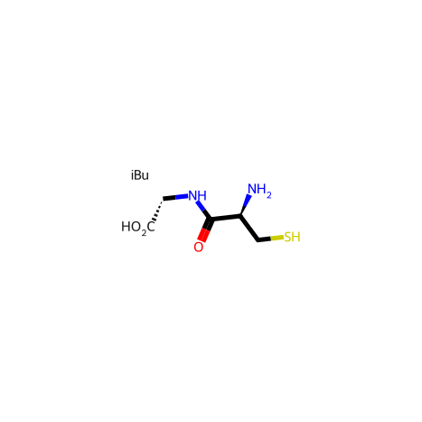 CC[C@H](C)[C@H](NC(=O)[C@@H](N)CS)C(=O)O